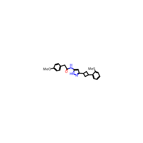 COc1ccc(CC(=O)Nc2cc(C3CC(c4ccccc4SC)C3)n[nH]2)cc1